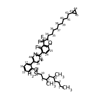 CCCCC(C)CC(C)CC[SiH2]Oc1ccccc1-c1cnc(-c2ccc3c(c2F)C(F)(F)C(CCCCCCCCCC2CC2)O3)nc1